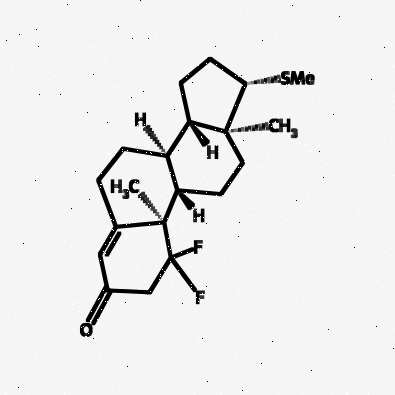 CS[C@H]1CC[C@H]2[C@@H]3CCC4=CC(=O)CC(F)(F)[C@]4(C)[C@H]3CC[C@]12C